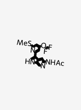 CSc1cc(OC(F)F)cc(-c2c[nH]c3cnc(NC(C)=O)cc23)n1